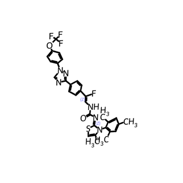 Cc1cc(C)c(-n2c(C)cs/c2=N\C(=O)N/C=C(\F)c2ccc(-c3ncn(-c4ccc(OC(F)(F)F)cc4)n3)cc2)c(C)c1